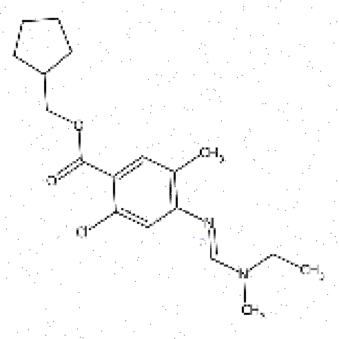 CCN(C)/C=N/c1cc(Cl)c(C(=O)OCC2CCCC2)cc1C